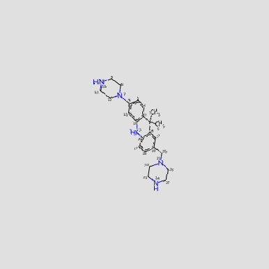 CC1(C)c2ccc(N3CCNCC3)cc2Nc2ccc(CN3CCNCC3)cc21